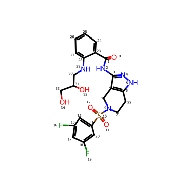 O=C(Nc1n[nH]c2c1CN(S(=O)(=O)c1cc(F)cc(F)c1)CC2)c1ccccc1NCC(O)CO